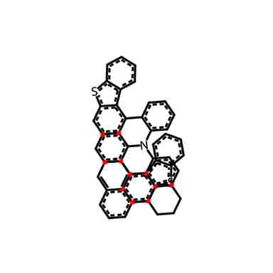 C1=c2cccc(C3CCCCC3)c2=C(c2ccccc2N(c2ccccc2-c2cccc3sc4ccccc4c23)c2ccccc2-c2cccc3sc4ccccc4c23)CC1